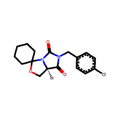 O=C1[C@H]2COC3(CCCCC3)N2C(=O)N1Cc1ccc(Cl)cc1